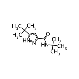 CC(C)(C)NC(=O)c1cc(C(C)(C)C)[nH]n1